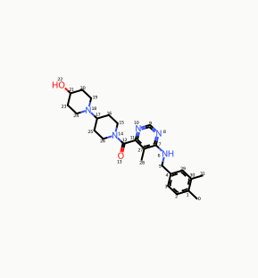 Cc1ccc(CNc2ncnc(C(=O)N3CCC(N4CCC(O)CC4)CC3)c2C)cc1C